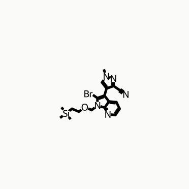 Cn1cc(-c2c(Br)n(COCC[Si](C)(C)C)c3ncccc23)c(C#N)n1